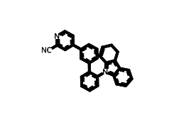 N#Cc1cc(-c2cccc(-c3ccccc3-n3c4c(c5ccccc53)CCC=C4)c2)ccn1